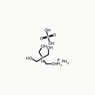 O=S(=O)(O)O.OC[PH](CO)(CO)CO.P.P